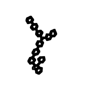 c1ccc(-c2ccc(-c3ccc(N(c4ccc(-c5ccc(-c6cccc(-c7oc8ccccc8c7-c7ccccc7)c6)cc5)cc4)c4ccc5ccccc5c4)cc3)cc2)cc1